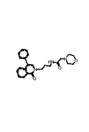 O=C(CN1CCOCC1)NCCCn1cc(-c2ccccc2)c2ccccc2c1=O